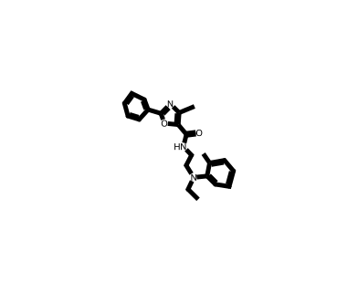 CCN(CCNC(=O)c1oc(-c2ccccc2)nc1C)c1ccccc1C